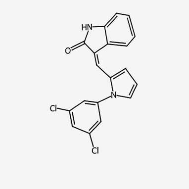 O=C1Nc2ccccc2/C1=C\c1cccn1-c1cc(Cl)cc(Cl)c1